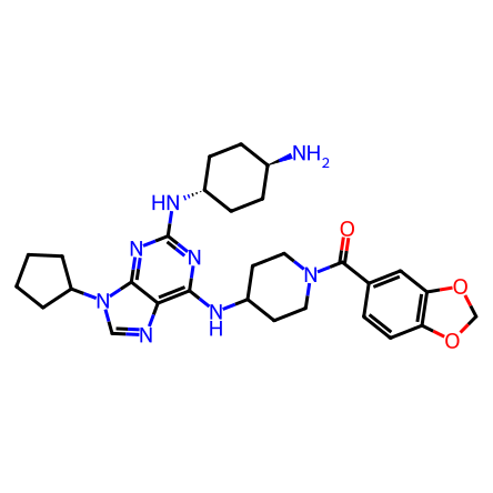 N[C@H]1CC[C@H](Nc2nc(NC3CCN(C(=O)c4ccc5c(c4)OCO5)CC3)c3ncn(C4CCCC4)c3n2)CC1